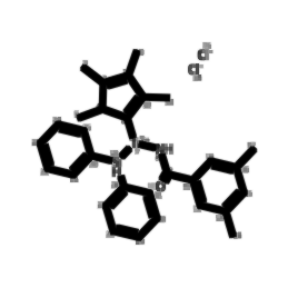 CC1=C(C)C(C)[C]([Ti+2]([NH]C(=O)c2cc(C)cc(C)c2)[SiH](c2ccccc2)c2ccccc2)=C1C.[Cl-].[Cl-]